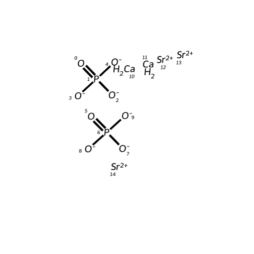 O=P([O-])([O-])[O-].O=P([O-])([O-])[O-].[CaH2].[CaH2].[Sr+2].[Sr+2].[Sr+2]